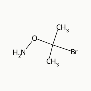 CC(C)(Br)ON